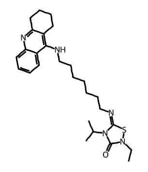 CCn1s/c(=N/CCCCCCCNc2c3c(nc4ccccc24)CCCC3)n(C(C)C)c1=O